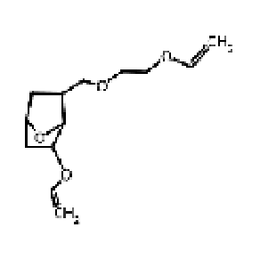 C=COCCOCC1CC2CC(OC=C)C1O2